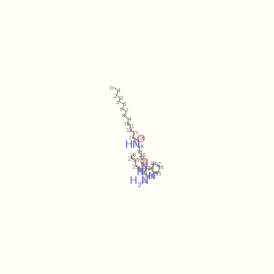 CCCCCCCCCCCCCCCC(=O)NCCCCOn1c(CCCC)nc2c(N)nc3ccccc3c21